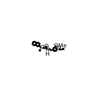 C#CCOc1ccc(CCNC(=O)CO[C@@H](C#C)c2ccc3ccccc3c2)cc1OC